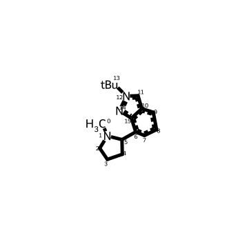 CN1CCCC1c1cccc2cn(C(C)(C)C)nc12